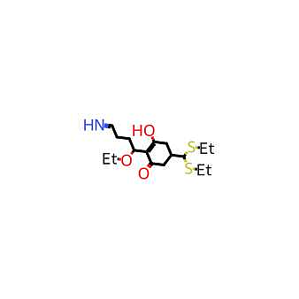 CCOC(CCC=N)C1=C(O)CC(C(SCC)SCC)CC1=O